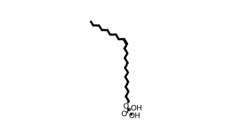 CCCCCCCC/C=C\CCCCCCCCCCCCOP(=O)(O)O